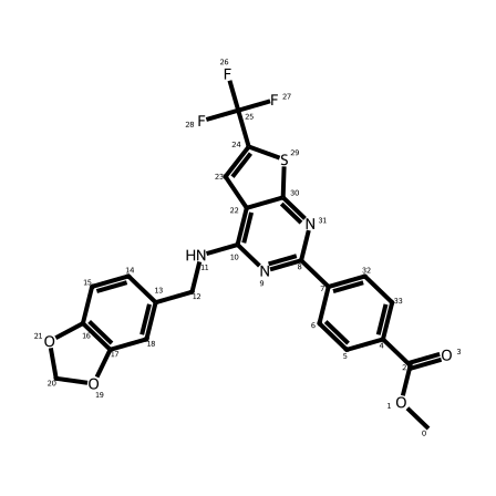 COC(=O)c1ccc(-c2nc(NCc3ccc4c(c3)OCO4)c3cc(C(F)(F)F)sc3n2)cc1